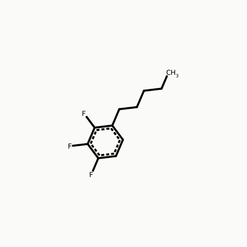 CCCCCc1ccc(F)c(F)c1F